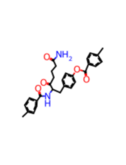 Cc1ccc(C(=O)NC(Cc2ccc(OC(=O)c3ccc(C)cc3)cc2)C(=O)CCCC(N)=O)cc1